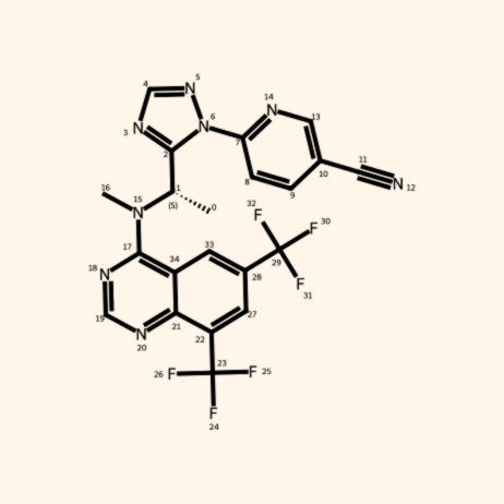 C[C@@H](c1ncnn1-c1ccc(C#N)cn1)N(C)c1ncnc2c(C(F)(F)F)cc(C(F)(F)F)cc12